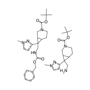 Cn1ccc(C2(CN)C3CCN(C(=O)OC(C)(C)C)CC32)n1.Cn1ccc(C2(CNC(=O)OCc3ccccc3)C3CCN(C(=O)OC(C)(C)C)CC32)n1